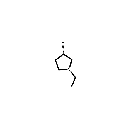 O[C@H]1CCN(CF)C1